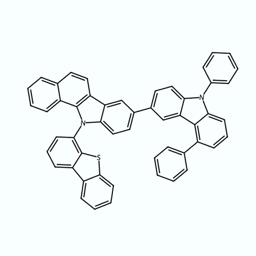 c1ccc(-c2cccc3c2c2cc(-c4ccc5c(c4)c4ccc6ccccc6c4n5-c4cccc5c4sc4ccccc45)ccc2n3-c2ccccc2)cc1